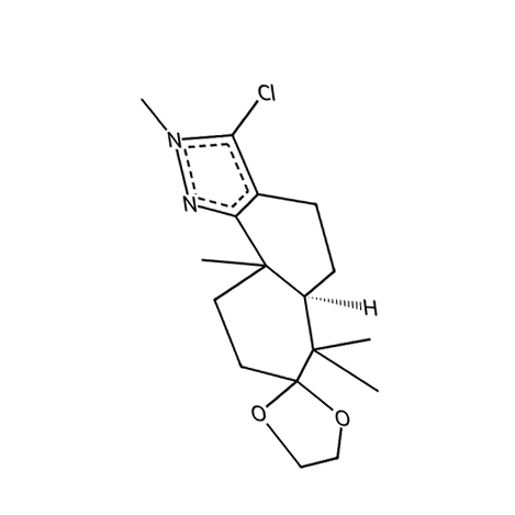 Cn1nc2c(c1Cl)CC[C@@H]1C2(C)CCC2(OCCO2)C1(C)C